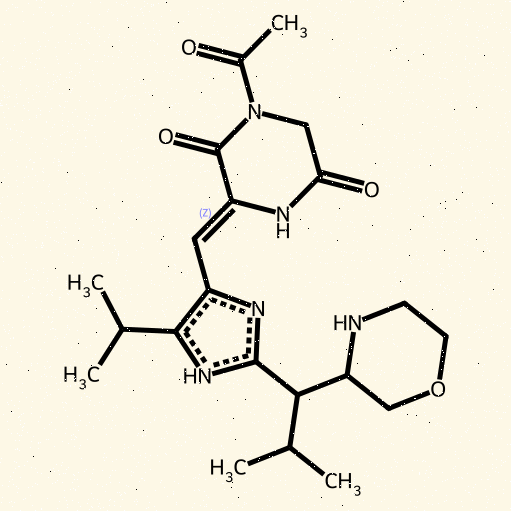 CC(=O)N1CC(=O)N/C(=C\c2nc(C(C(C)C)C3COCCN3)[nH]c2C(C)C)C1=O